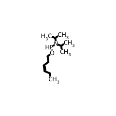 CC/C=C\CCOPN(C(C)C)C(C)C